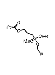 CO[Si](CCCOC(=O)C(C)C)(OC)OCBr